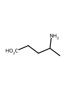 CC(N)CCC(=O)O